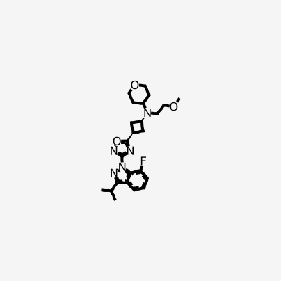 COCCN(C1CCOCC1)[C@H]1C[C@H](c2nc(-n3nc(C(C)C)c4cccc(F)c43)no2)C1